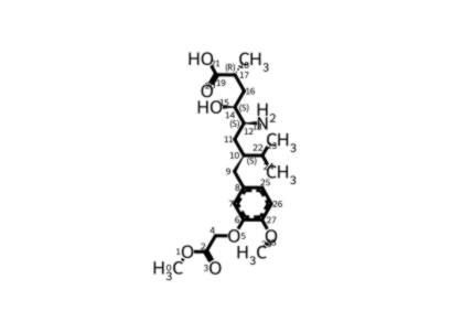 COC(=O)COc1cc(C[C@@H](C[C@H](N)[C@@H](O)C[C@@H](C)C(=O)O)C(C)C)ccc1OC